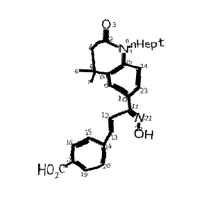 CCCCCCCN1C(=O)CC(C)(C)c2cc(C(/C=C/c3ccc(C(=O)O)cc3)=NO)ccc21